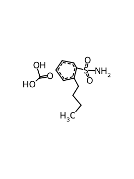 CCCCc1ccccc1S(N)(=O)=O.O=C(O)O